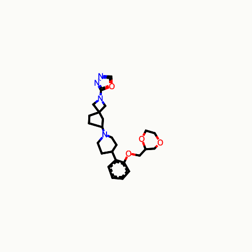 c1ccc(C2CCN(C3CCC4(C3)CN(c3nnco3)C4)CC2)c(OCC2COCCO2)c1